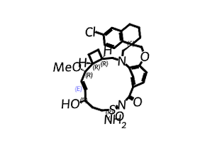 CO[C@H]1/C=C/[C@H](O)CC[S@](N)(=O)=NC(=O)c2ccc3c(c2)N(C[C@@H]2CC[C@H]21)C[C@@]1(CCCc2cc(Cl)ccc21)CO3